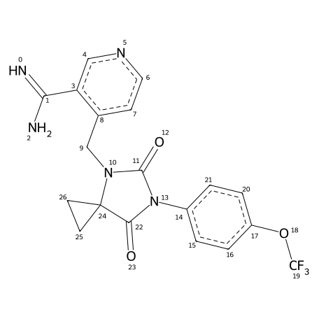 N=C(N)c1cnccc1CN1C(=O)N(c2ccc(OC(F)(F)F)cc2)C(=O)C12CC2